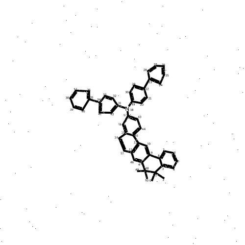 CC1(C)c2ccccc2-c2cc3c(ccc4cc(N(c5ccc(-c6ccccc6)cc5)c5ccc(-c6ccccc6)cc5)ccc43)cc2C1(C)C